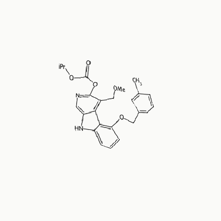 COCc1c(OC(=O)OC(C)C)ncc2[nH]c3cccc(OCc4cccc(C)c4)c3c12